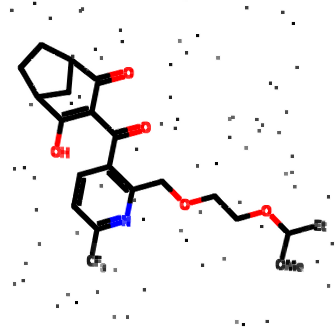 CCC(OC)OCCOCc1nc(C(F)(F)F)ccc1C(=O)C1=C(O)C2CCC(C2)C1=O